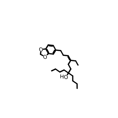 CCCCC(O)(CCCC)CCC(=CCCc1ccc2c(c1)OCO2)CC